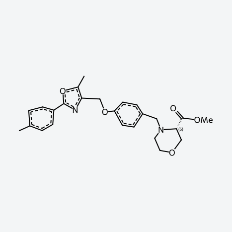 COC(=O)[C@@H]1COCCN1Cc1ccc(OCc2nc(-c3ccc(C)cc3)oc2C)cc1